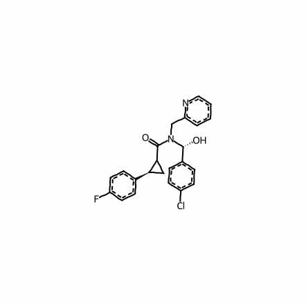 O=C(C1C[C@H]1c1ccc(F)cc1)N(Cc1ccccn1)[C@H](O)c1ccc(Cl)cc1